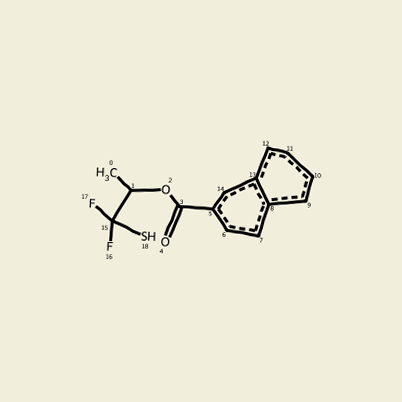 CC(OC(=O)c1ccc2ccccc2c1)C(F)(F)S